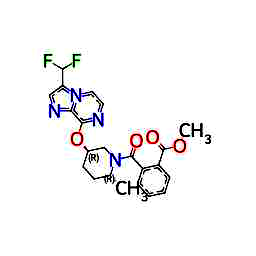 COC(=O)c1ccccc1C(=O)N1C[C@H](Oc2nccn3c(C(F)F)cnc23)CC[C@H]1C